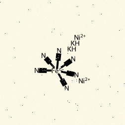 N#[C][Fe-4]([C]#N)([C]#N)([C]#N)([C]#N)[C]#N.[KH].[KH].[Ni+2].[Ni+2]